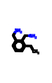 CCc1cccc(CN)c1CN